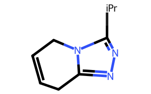 CC(C)c1nnc2n1CC=CC2